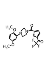 COc1ccc(OC)c(N2CCN(C(=O)c3ccc(C(=O)C(F)(F)F)s3)CC2)c1